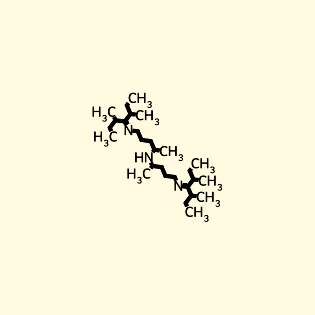 CCC(C)C(=NCCCC(C)NC(C)CCCN=C(C(C)CC)C(C)CC)C(C)CC